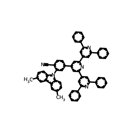 Cc1ccc2c(c1)c1cc(C)ccc1n2-c1cc(-c2cc(-c3cc(-c4ccccc4)nc(-c4ccccc4)c3)nc(-c3cc(-c4ccccc4)nc(-c4ccccc4)c3)c2)ccc1C#N